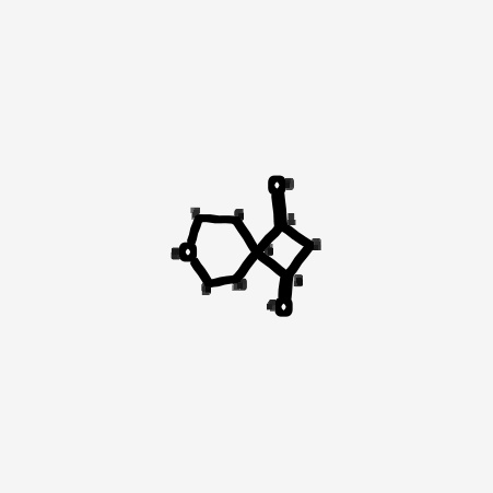 O=C1CC(=O)C12CCOCC2